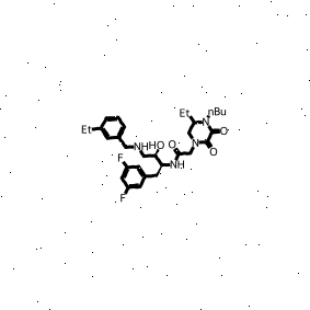 CCCCN1C(=O)C(=O)N(CC(=O)N[C@@H](Cc2cc(F)cc(F)c2)[C@H](O)CNCc2cccc(CC)c2)CC1CC